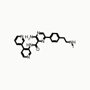 Nc1ncc(-c2ccc(CCNI)cc2)nc1C(=O)Nc1cnccc1-c1cccnc1